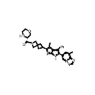 Cc1c(C2CC3(C2)CN(C(=O)[C@H]2COCCN2)C3)sc2[nH]c(-c3cc(C)c4ncnn4c3)c(C(C)C)c12